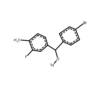 [2H]OC(c1ccc(Br)cc1)c1ccc(C)c(F)c1